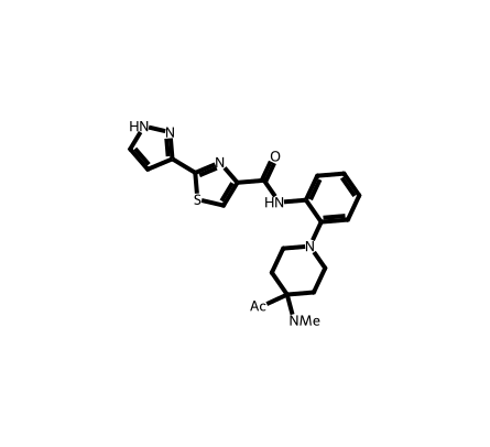 CNC1(C(C)=O)CCN(c2ccccc2NC(=O)c2csc(-c3cc[nH]n3)n2)CC1